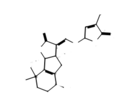 CC(=O)O[C@H]1CCC(C)(C)C2=C1C[C@@H]1/C(=C\OC3C=C(C)C(=O)O3)C(=O)O[C@H]21